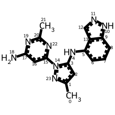 Cc1cc(Nc2cccc3[nH]ncc23)n(-c2cc(N)nc(C)n2)n1